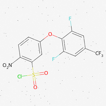 O=[N+]([O-])c1ccc(Oc2c(F)cc(C(F)(F)F)cc2F)cc1S(=O)(=O)Cl